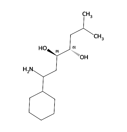 CC(C)C[C@H](O)[C@H](O)CC(N)C1CCCCC1